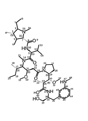 CCC1[C@@H](C)C(C)[C@@H](C(=O)N[C@H](C(=O)N(C)C([C@@H](C)CC)[C@@H](CC(=O)N2CCC[C@H]2[C@H](OC)[C@@H](C)C(=O)N[C@H](CO)Cc2cccc(NC)c2)OC)C(C)C)N1C